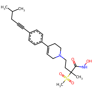 CC(C)CC#Cc1ccc(C2=CCN(CCC(C)(C(=O)NO)S(C)(=O)=O)CC2)cc1